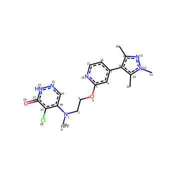 CCCN(CCOc1cc(-c2c(C)nn(C)c2C)ccn1)c1cn[nH]c(=O)c1Cl